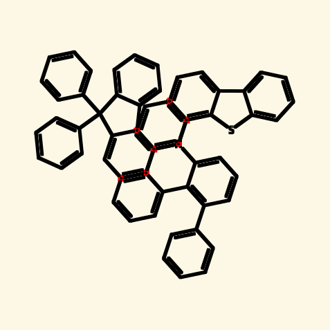 c1ccc(-c2ccccc2-c2c(-c3ccccc3)cccc2N(c2cccc3c2-c2ccccc2C3(c2ccccc2)c2ccccc2)c2cccc3c2sc2ccccc23)cc1